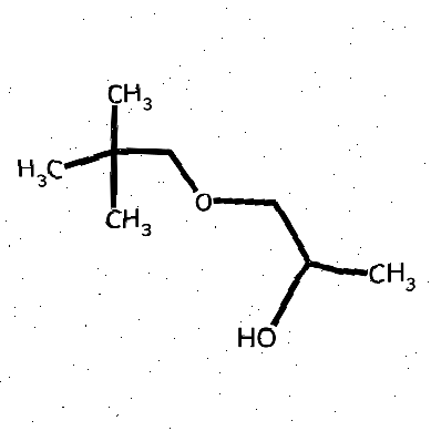 CC(O)COCC(C)(C)C